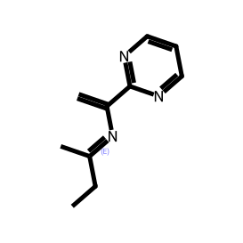 C=C(/N=C(\C)CC)c1ncccn1